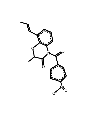 CC=Cc1cccc2c1OC(C)C(=O)N2C(=O)c1ccc([N+](=O)[O-])cc1